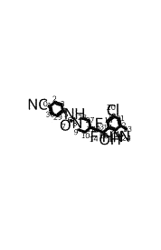 N#Cc1ccc(NC(=O)N2CCC(C(F)(F)C(O)c3cc(Cl)cc4cn[nH]c34)CC2)cc1